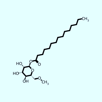 CCCCCCCCCCCCCCC(=O)O[C@H]1O[C@H](COC)[C@@H](O)[C@H](O)[C@@H]1O